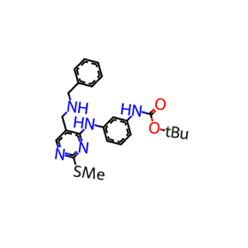 CSc1ncc(CNCc2ccccc2)c(Nc2cccc(NC(=O)OC(C)(C)C)c2)n1